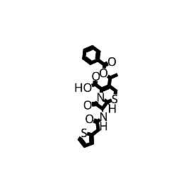 CC(OC(=O)c1ccccc1)C1=C(C(=O)O)N2C(=O)[C@@H](NC(=O)Cc3cccs3)[C@@H]2SC1